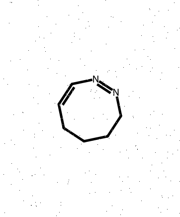 C1=C\N=N/CCCC/1